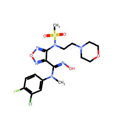 CN(C(=NO)c1nonc1N(CCN1CCOCC1)S(C)(=O)=O)c1ccc(F)c(Cl)c1